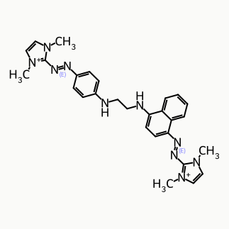 Cn1cc[n+](C)c1/N=N/c1ccc(NCCNc2ccc(/N=N/c3n(C)cc[n+]3C)c3ccccc23)cc1